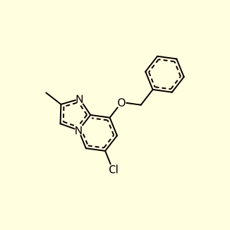 Cc1cn2cc(Cl)cc(OCc3ccccc3)c2n1